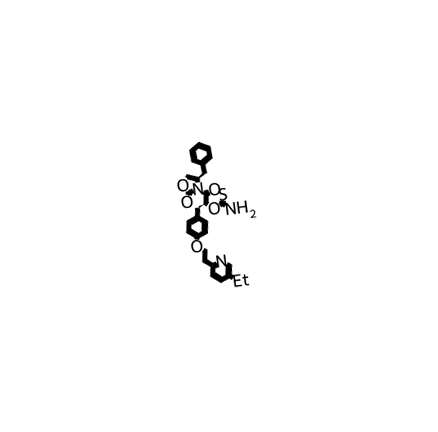 CCc1ccc(CCOc2ccc(C[C@@H](OC(N)=S)C(=O)N3C(=O)OC[C@H]3Cc3ccccc3)cc2)nc1